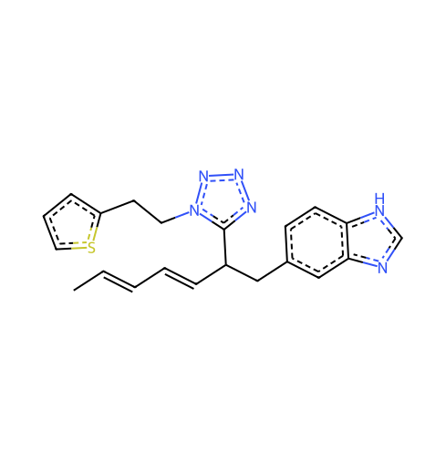 C/C=C/C=C/C(Cc1ccc2[nH]cnc2c1)c1nnnn1CCc1cccs1